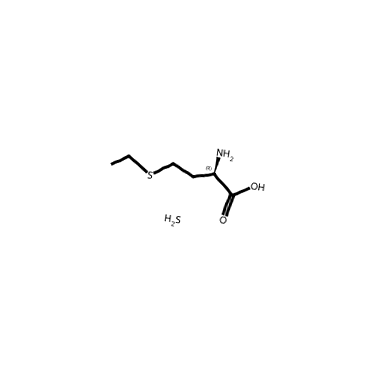 CCSCC[C@@H](N)C(=O)O.S